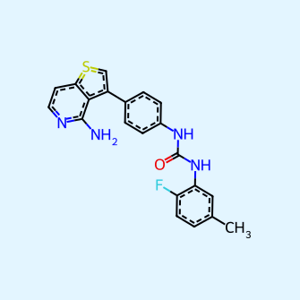 Cc1ccc(F)c(NC(=O)Nc2ccc(-c3csc4ccnc(N)c34)cc2)c1